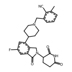 Cc1cccc(CN2CCC(c3cc(F)cc4c3CN(C3CCC(=O)NC3=O)C4=O)CC2)c1C#N